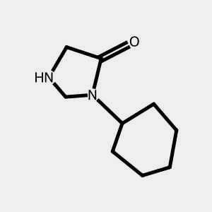 O=C1CNCN1C1CCCCC1